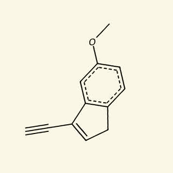 C#CC1=CCc2ccc(OC)cc21